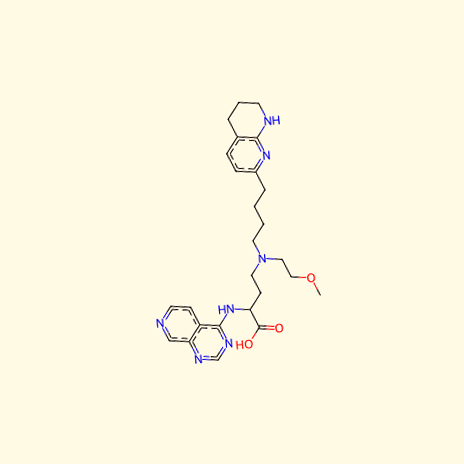 COCCN(CCCCc1ccc2c(n1)NCCC2)CCC(Nc1ncnc2cnccc12)C(=O)O